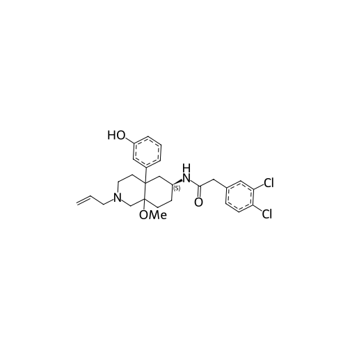 C=CCN1CCC2(c3cccc(O)c3)C[C@@H](NC(=O)Cc3ccc(Cl)c(Cl)c3)CCC2(OC)C1